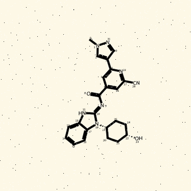 Cn1cc(-c2cc(C(=O)/N=c3\[nH]c4ccccc4n3[C@H]3CC[C@@H](O)CC3)cc(C#N)n2)cn1